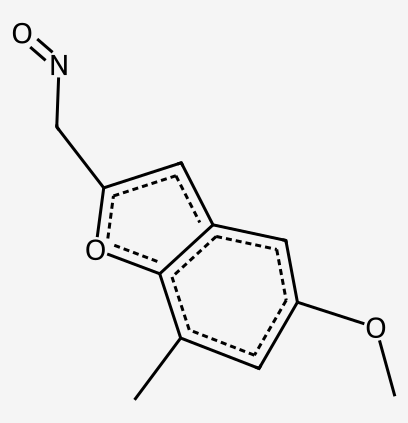 COc1cc(C)c2oc(CN=O)cc2c1